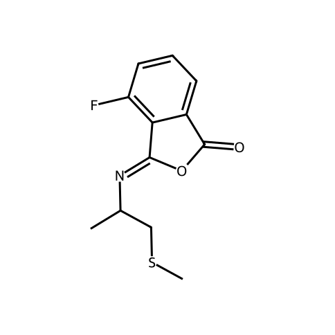 CSCC(C)N=C1OC(=O)c2cccc(F)c21